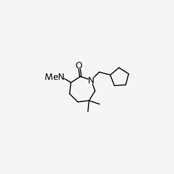 CNC1CCC(C)(C)CN(CC2CCCC2)C1=O